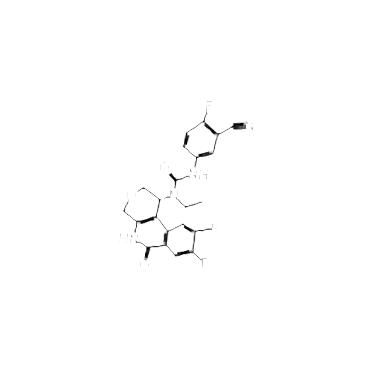 CCN(C(=O)Nc1ccc(F)c(C#N)c1)[C@@H]1COCc2[nH]c(=O)c3cc(F)c(F)cc3c21